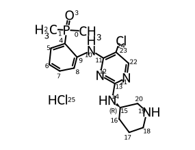 CP(C)(=O)c1ccccc1Nc1nc(N[C@@H]2CCCNC2)ncc1Cl.Cl